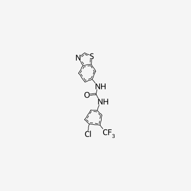 O=C(Nc1ccc(Cl)c(C(F)(F)F)c1)Nc1ccc2ncsc2c1